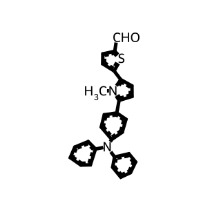 Cn1c(-c2ccc(N(c3ccccc3)c3ccccc3)cc2)ccc1-c1ccc(C=O)s1